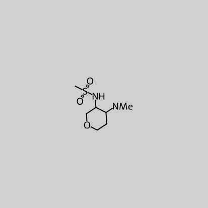 CNC1CCOCC1NS(C)(=O)=O